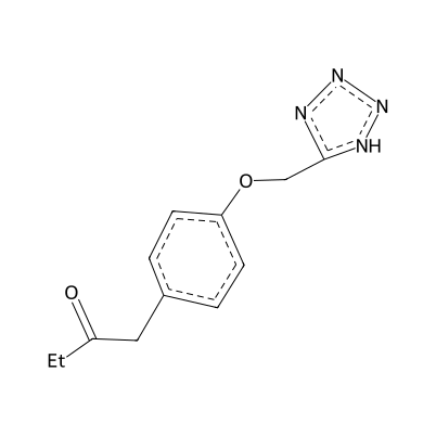 CCC(=O)Cc1ccc(OCc2nnn[nH]2)cc1